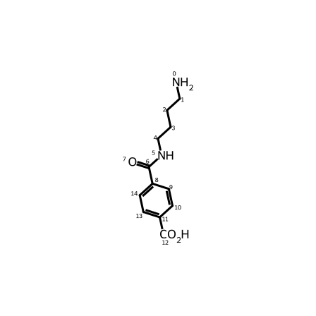 NCCCCNC(=O)c1ccc(C(=O)O)cc1